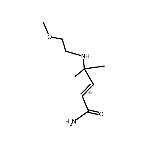 COCCNC(C)(C)/C=C/C(N)=O